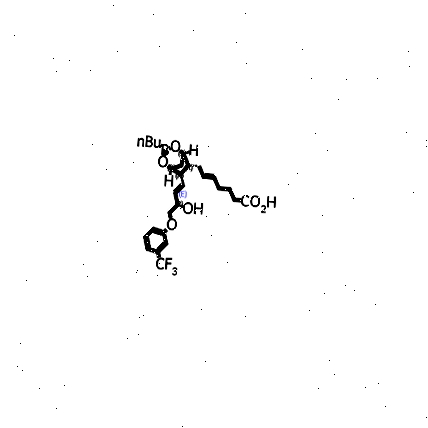 CCCCB1O[C@H]2C[C@@H](O1)[C@H](/C=C/[C@@H](O)COc1cccc(C(F)(F)F)c1)[C@H]2CC=CCCCC(=O)O